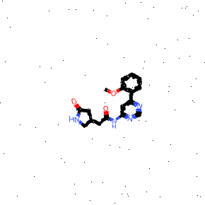 COc1ccccc1-c1cc(NC(=O)CC2CNC(=O)C2)ncn1